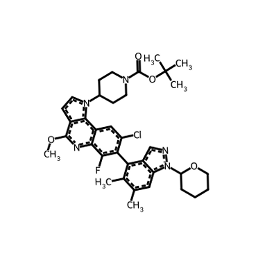 COc1nc2c(F)c(-c3c(C)c(C)cc4c3cnn4C3CCCCO3)c(Cl)cc2c2c1ccn2C1CCN(C(=O)OC(C)(C)C)CC1